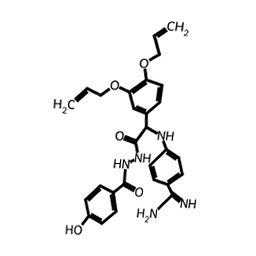 C=CCOc1ccc(C(Nc2ccc(C(=N)N)cc2)C(=O)NNC(=O)c2ccc(O)cc2)cc1OCC=C